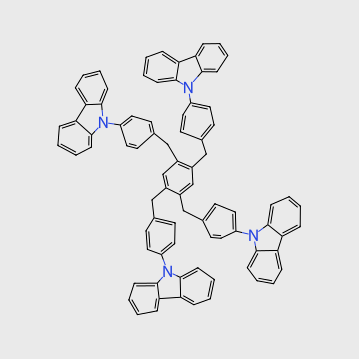 c1ccc2c(c1)c1ccccc1n2-c1ccc(Cc2cc(Cc3ccc(-n4c5ccccc5c5ccccc54)cc3)c(Cc3ccc(-n4c5ccccc5c5ccccc54)cc3)cc2Cc2ccc(-n3c4ccccc4c4ccccc43)cc2)cc1